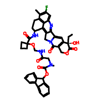 CC[C@@]1(O)C(=O)OCc2c1cc1n(c2=O)Cc2c-1nc1cc(F)c(C)c3c1c2[C@@H](NC(=O)C1(OCNC(=O)CN(C)C(=O)OC2c4ccccc4-c4ccccc42)CCC1)CC3